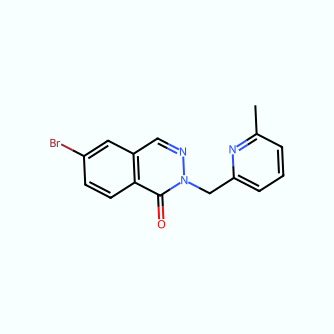 Cc1cccc(Cn2ncc3cc(Br)ccc3c2=O)n1